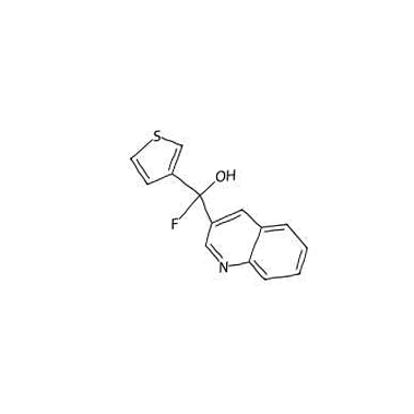 OC(F)(c1ccsc1)c1cnc2ccccc2c1